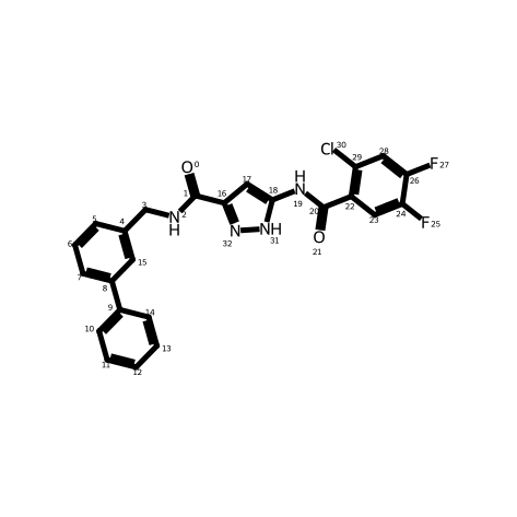 O=C(NCc1cccc(-c2ccccc2)c1)c1cc(NC(=O)c2cc(F)c(F)cc2Cl)[nH]n1